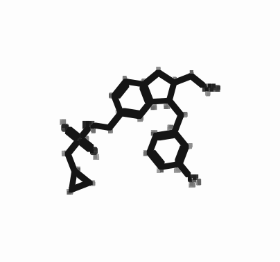 CNCC1Cc2ccc(CNS(=O)(=O)CC3CC3)cc2C1Cc1cccc(C(F)(F)F)c1